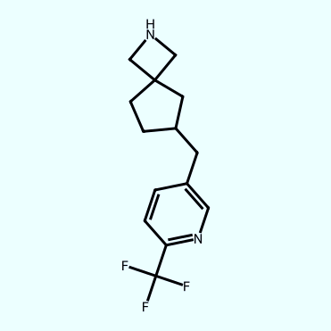 FC(F)(F)c1ccc(CC2CCC3(CNC3)C2)cn1